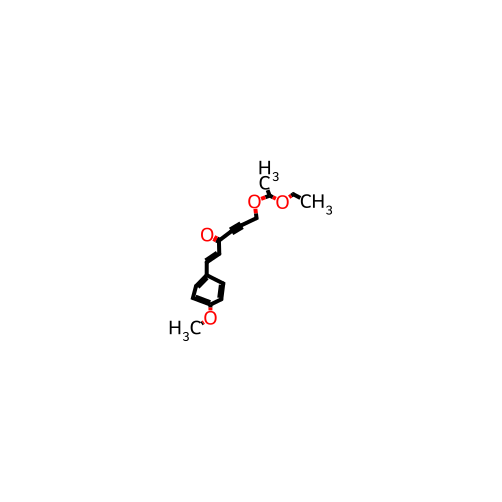 CCOC(C)OCC#CC(=O)C=Cc1ccc(OC)cc1